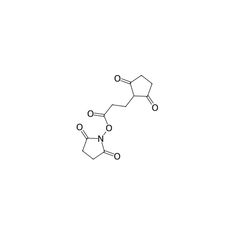 O=C(CCC1C(=O)CCC1=O)ON1C(=O)CCC1=O